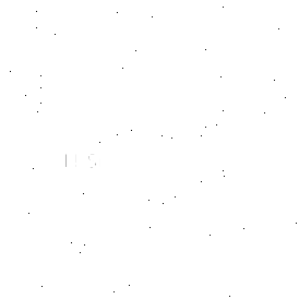 [SiH3]C1=CCC=C1